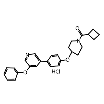 Cl.O=C(C1CCC1)N1CCC(Oc2ccc(-c3cncc(Oc4ccccc4)c3)cc2)CC1